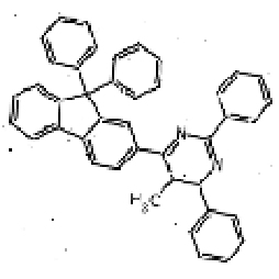 CC1C(c2ccc3c(c2)C(c2ccccc2)(c2ccccc2)c2ccccc2-3)=NC(c2ccccc2)=NC1c1ccccc1